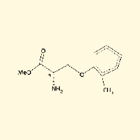 COC(=O)[C@@H](N)COc1ccccc1C